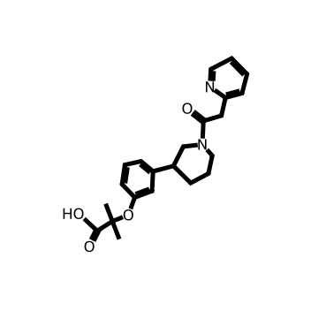 CC(C)(Oc1cccc(C2CCCN(C(=O)Cc3ccccn3)C2)c1)C(=O)O